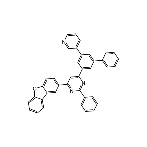 c1ccc(-c2cc(-c3cccnc3)cc(-c3cc(-c4ccc5oc6ccccc6c5c4)nc(-c4ccccc4)n3)c2)cc1